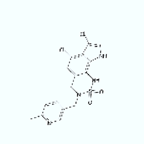 Cc1ccc(CN2Cc3cc(Cl)c4c(Cl)c[nH]c4c3NS2(=O)=O)cn1